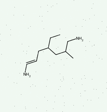 CCC(C/C=C/N)CC(C)CN